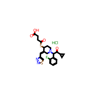 Cl.O=C(O)CCC(=O)SC1CCN(C(C(=O)C2CC2)c2ccccc2F)C/C1=C\c1csnn1